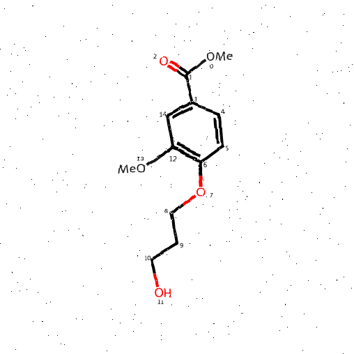 COC(=O)c1ccc(OCCCO)c(OC)c1